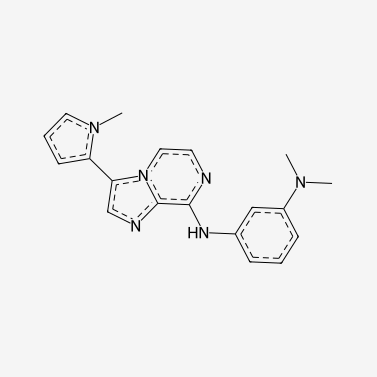 CN(C)c1cccc(Nc2nccn3c(-c4cccn4C)cnc23)c1